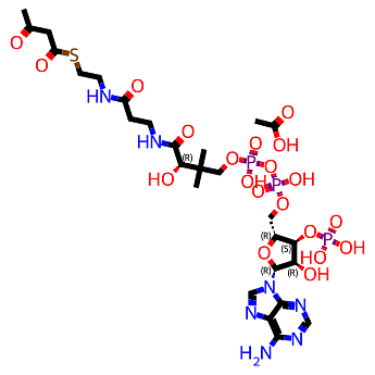 CC(=O)CC(=O)SCCNC(=O)CCNC(=O)[C@H](O)C(C)(C)COP(=O)(O)OP(=O)(O)OC[C@H]1O[C@@H](n2cnc3c(N)ncnc32)[C@H](O)[C@@H]1OP(=O)(O)O.CC(=O)O